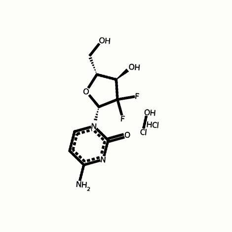 Cl.Nc1ccn([C@@H]2O[C@H](CO)[C@@H](O)C2(F)F)c(=O)n1.OCl